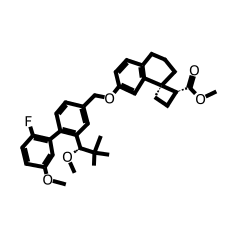 COC(=O)[C@@H]1CC[C@]12CCCc1ccc(OCc3ccc(-c4cc(OC)ccc4F)c([C@@H](OC)C(C)(C)C)c3)cc12